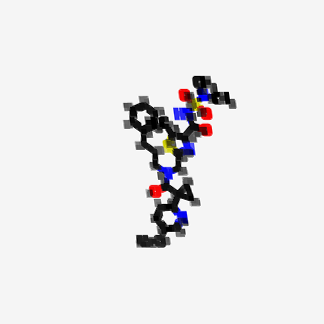 COc1ccc(C2(C(=O)N(CCCc3ccccc3)Cc3nc(C(=O)NS(=O)(=O)N(C)C)c(C)s3)CC2)nc1